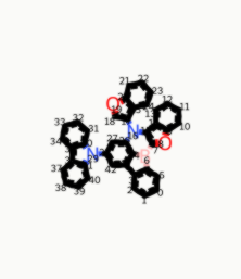 c1ccc2c(c1)B1c3oc4ccccc4c3N(c3coc4ccccc34)c3cc(-n4c5ccccc5c5ccccc54)cc-2c31